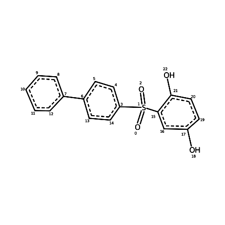 O=S(=O)(c1ccc(-c2ccccc2)cc1)c1cc(O)ccc1O